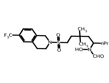 CCCC(CC(C)(C)CCS(=O)(=O)N1CCc2cc(C(F)(F)F)ccc2C1)N(O)C=O